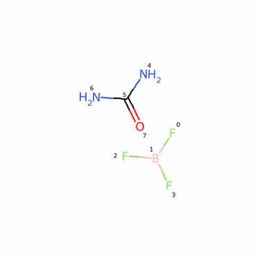 FB(F)F.NC(N)=O